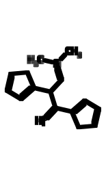 C[Si](C)=CC([C](=[Hf])C1=CC=CC1)C1=CC=CC1